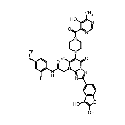 CCc1c(N2CCN(C(=O)c3ncnc(C)c3O)CC2)c(=O)n2nc(-c3ccc4oc(O)c(O)c4c3)nc2n1CC(=O)Nc1ccc(SC(F)(F)F)cc1F